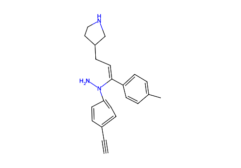 C#Cc1ccc(N(N)/C(=C\CC2CCNC2)c2ccc(C)cc2)cc1